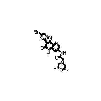 C[C@H]1CN(CC(=O)Nc2cnc3c(c2)[nH]c(=O)c2c3nn3cc(Br)sc23)C[C@H](C)O1